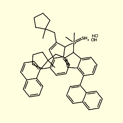 CC1(CC2=Cc3c(-c4cccc5ccccc45)cccc3[CH]2[Zr]([CH3])([CH3])(=[SiH2])[CH]2C(CC3(C)CCCC3)=Cc3c(-c4cccc5ccccc45)cccc32)CCCC1.Cl.Cl